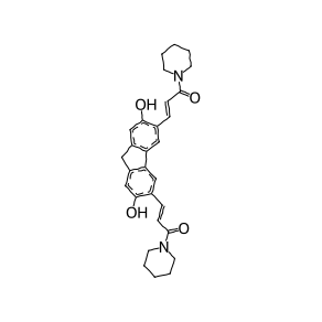 O=C(/C=C/c1cc2c(cc1O)Cc1cc(O)c(/C=C/C(=O)N3CCCCC3)cc1-2)N1CCCCC1